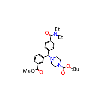 CCN(CC)C(=O)c1ccc(C(c2cccc(C(=O)OC)c2)N2CCN(C(=O)OC(C)(C)C)CC2)cc1